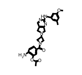 COc1cc(C)cc(Nc2ncc3c(n2)CN(C2CN(C(=O)c4ccc(N)c(OC(C)=O)c4)C2)C3)c1